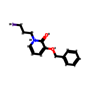 O=c1c(OCc2ccccc2)cccn1CCCI